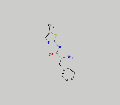 Cc1cnc(NC(=O)C(N)Cc2ccccc2)s1